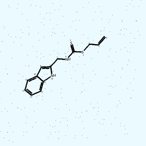 C=CCSC(=S)NCc1cc2ccccc2[nH]1